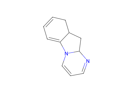 C1=CCC2CC3N=CC=CN3C2=C1